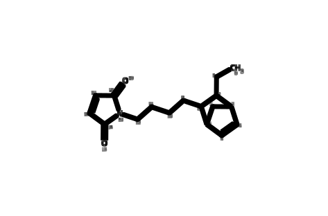 CCC1C2C=CC(C2)C1CCCCN1C(=O)C=CC1=O